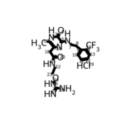 Cc1[nH]c(=O)c(NCCc2ccccc2C(F)(F)F)nc1CC(=O)NCCONC(=N)N.Cl